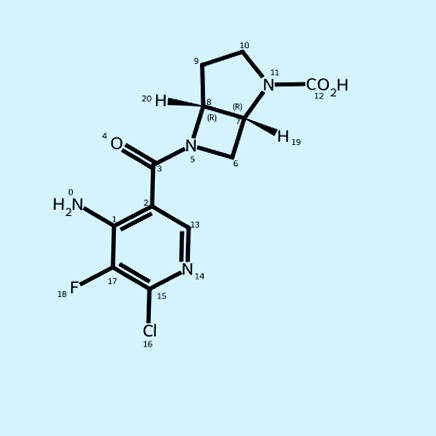 Nc1c(C(=O)N2C[C@@H]3[C@H]2CCN3C(=O)O)cnc(Cl)c1F